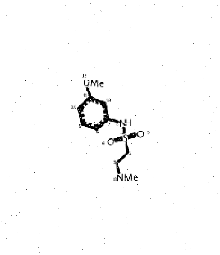 CNCCS(=O)(=O)Nc1cccc(OC)c1